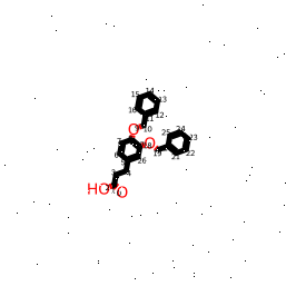 O=C(O)CCc1ccc(OCc2ccccc2)c(OCc2ccccc2)c1